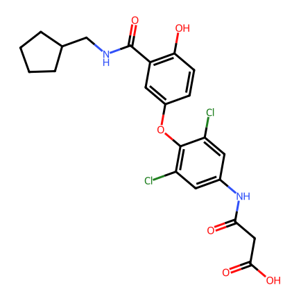 O=C(O)CC(=O)Nc1cc(Cl)c(Oc2ccc(O)c(C(=O)NCC3CCCC3)c2)c(Cl)c1